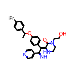 CC(C)c1ccc(C(C)Oc2ccc(/C(C(=N)c3ccncc3)=C3/NCCN(CCO)C3=O)cc2)cc1